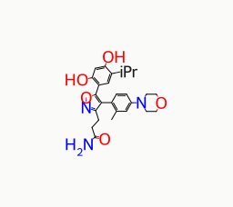 Cc1cc(N2CCOCC2)ccc1-c1c(CCC(N)=O)noc1-c1cc(C(C)C)c(O)cc1O